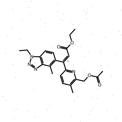 CCOC(=O)/C=C(/c1ccc(C)c(COC(C)=O)n1)c1ccc2c(nnn2CC)c1C